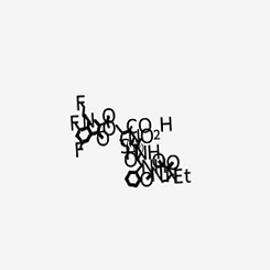 CCN1CCN(C(=O)NC(C(=O)N[C@@H]2C(=O)N3C(C(=O)O)=C(COC(=O)c4cn(CCF)c5c(F)cc(F)cc5c4=O)CS[C@H]23)c2ccccc2)C(=O)C1=O